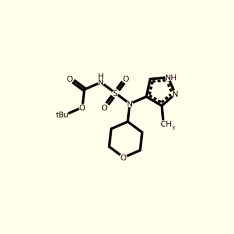 Cc1n[nH]cc1N(C1CCOCC1)S(=O)(=O)NC(=O)OC(C)(C)C